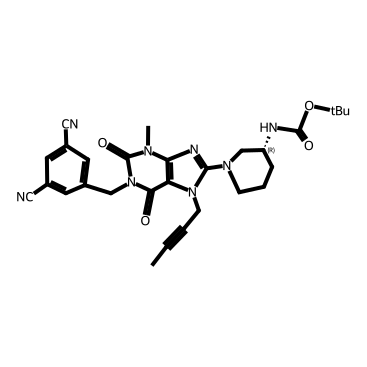 CC#CCn1c(N2CCC[C@@H](NC(=O)OC(C)(C)C)C2)nc2c1c(=O)n(Cc1cc(C#N)cc(C#N)c1)c(=O)n2C